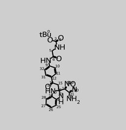 CC(C)(C)OC(=O)NCC(=O)Nc1ccc(C(=O)CC2(c3nonc3N)Nc3ccccc3N2)cc1